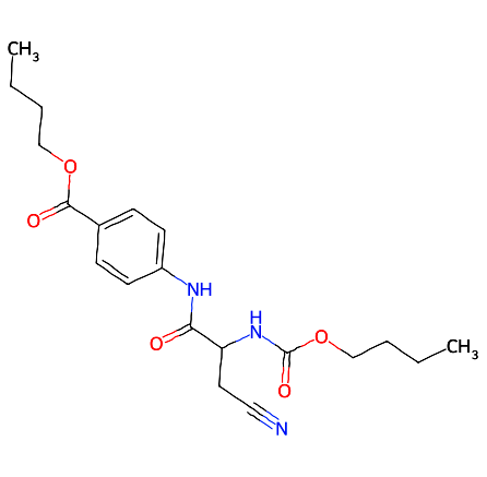 CCCCOC(=O)NC(CC#N)C(=O)Nc1ccc(C(=O)OCCCC)cc1